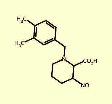 Cc1ccc(CN2CCCC(N=O)C2C(=O)O)cc1C